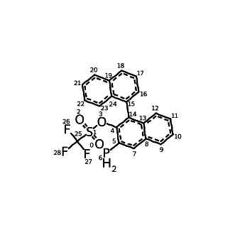 O=S(=O)(Oc1c(P)cc2ccccc2c1-c1cccc2ccccc12)C(F)(F)F